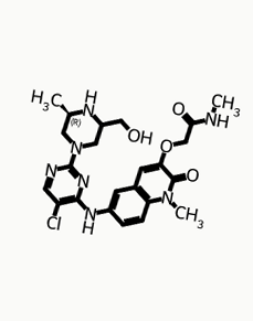 CNC(=O)COc1cc2cc(Nc3nc(N4CC(CO)N[C@H](C)C4)ncc3Cl)ccc2n(C)c1=O